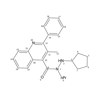 CCCN(NC1CCCC1)C(=O)c1c(C)c(-c2ccccc2)nc2ccccc12